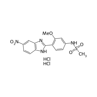 COc1cc(NS(C)(=O)=O)ccc1-c1nc2cc([N+](=O)[O-])ccc2[nH]1.Cl.Cl